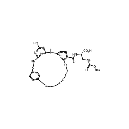 CC(C)(C)OC(=O)NC[C@H](NC(=O)c1ccc2cc1OCCCCCCOc1ccc(cc1)CNc1nc(O)nc(n1)N2)C(=O)O